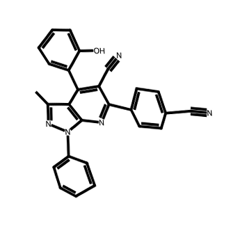 Cc1nn(-c2ccccc2)c2nc(-c3ccc(C#N)cc3)c(C#N)c(-c3ccccc3O)c12